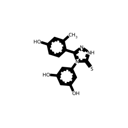 Cc1cc(O)ccc1-c1n[nH]c(=S)n1-c1cc(O)cc(O)c1